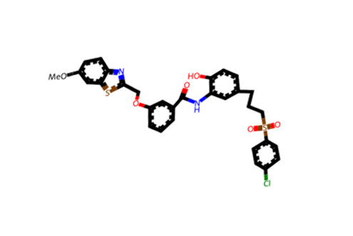 COc1ccc2nc(COc3cccc(C(=O)Nc4cc(CCCS(=O)(=O)c5ccc(Cl)cc5)ccc4O)c3)sc2c1